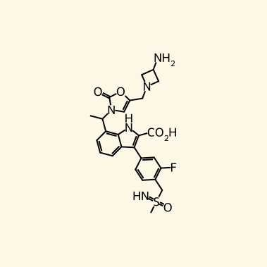 CC(c1cccc2c(-c3ccc(CS(C)(=N)=O)c(F)c3)c(C(=O)O)[nH]c12)n1cc(CN2CC(N)C2)oc1=O